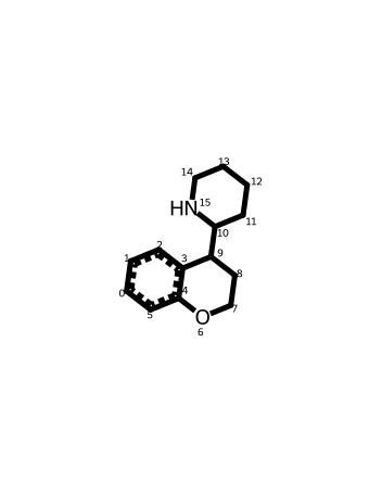 c1ccc2c(c1)OCCC2C1CCCCN1